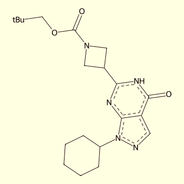 CC(C)(C)COC(=O)N1CC(c2nc3c(cnn3C3CCCCC3)c(=O)[nH]2)C1